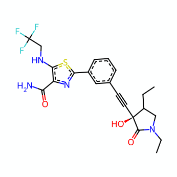 CCC1CN(CC)C(=O)[C@]1(O)C#Cc1cccc(-c2nc(C(N)=O)c(NCC(F)(F)F)s2)c1